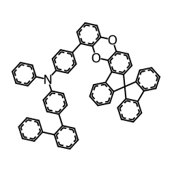 c1ccc(-c2ccccc2-c2ccc(N(c3ccccc3)c3ccc(-c4cccc5c4Oc4c(ccc6c4-c4ccccc4C64c6ccccc6-c6ccccc64)O5)cc3)cc2)cc1